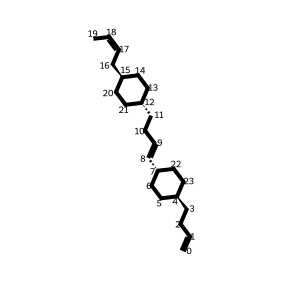 C=CCC[C@H]1CC[C@H](/C=C/CC[C@H]2CC[C@H](C/C=C\C)CC2)CC1